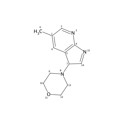 Cc1cnc2c(c1)C(N1CCOCC1)C=N2